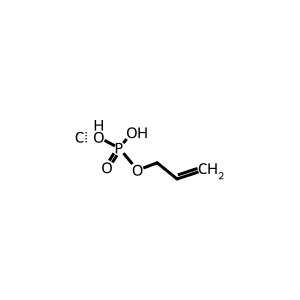 C=CCOP(=O)(O)O.[C]